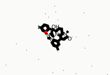 Cc1cccc(-c2cc(=O)n(C)c3ccc([C@](O)(c4ccc(I)cc4)c4cncn4C)nc23)c1